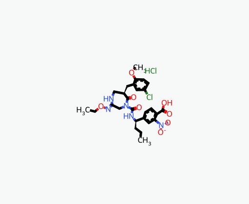 CCC[C@@H](NC(=O)N1C/C(=N/OCC)NC[C@@H](Cc2cc(Cl)ccc2OC)C1=O)c1ccc(C(=O)O)c([N+](=O)[O-])c1.Cl